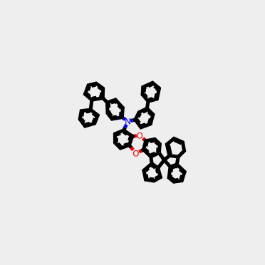 C1=CCC2C(=C1)C1(c3ccccc3-c3c1ccc1c3Oc3cccc(N(c4ccc(-c5ccccc5-c5ccccc5)cc4)c4cccc(-c5ccccc5)c4)c3O1)c1ccccc12